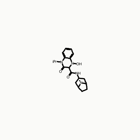 CC(C)N1C(=O)C(C(=O)NC2CC3CCC(C2)N3C)N(O)c2ccccc21